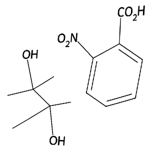 CC(C)(O)C(C)(C)O.O=C(O)c1ccccc1[N+](=O)[O-]